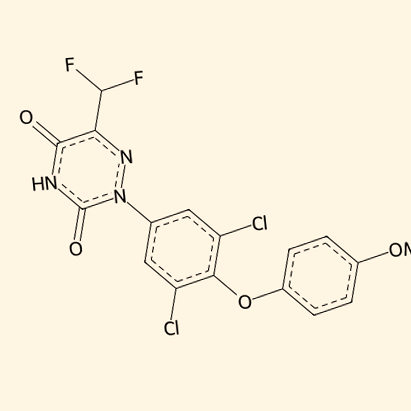 COc1ccc(Oc2c(Cl)cc(-n3nc(C(F)F)c(=O)[nH]c3=O)cc2Cl)cc1